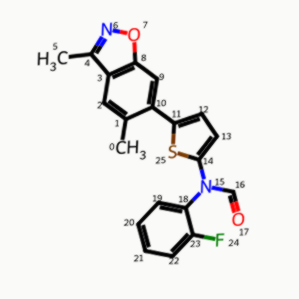 Cc1cc2c(C)noc2cc1-c1ccc(N(C=O)c2ccccc2F)s1